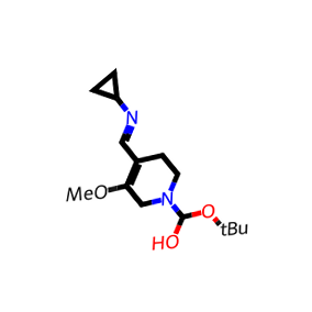 COC1=C(/C=N/C2CC2)CCN(C(O)OC(C)(C)C)C1